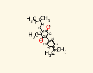 CCC(C)CCCC(C)C(=O)C(CC=O)c1ccc(C(C)C)cc1